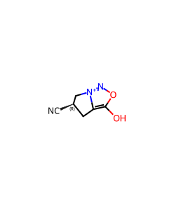 N#C[C@@H]1Cc2c(O)on[n+]2C1